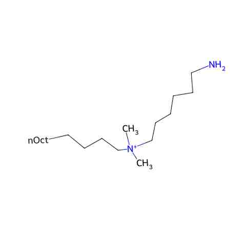 CCCCCCCCCCCC[N+](C)(C)CCCCCCN